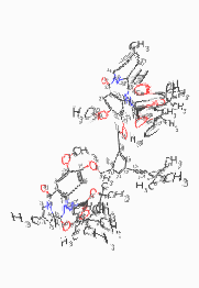 COc1cc2c(cc1OCc1cc(C#C[Si](C)(C)C)cc(COc3cc4c(cc3OC)C(=O)N3C=C(C)C[C@H]3[C@H](O[Si](C)(C)C(C)(C)C)N4C(=O)OC(C)(C)C)c1)N(C(=O)OC(C)(C)C)[C@@H](O[Si](C)(C)C(C)(C)C)[C@@H]1CC(C)=CN1C2=O